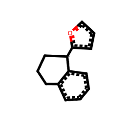 c1coc([C]2CCCc3ccccc32)c1